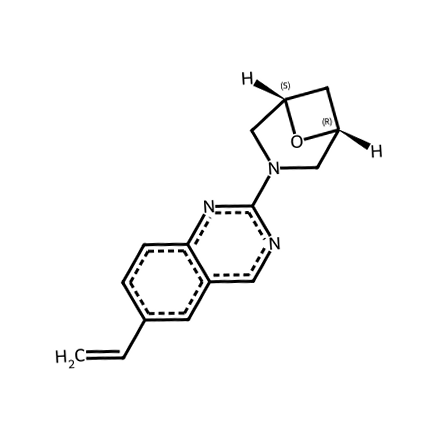 C=Cc1ccc2nc(N3C[C@H]4C[C@@H](C3)O4)ncc2c1